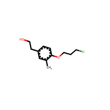 Cc1cc(CCO)ccc1OCCCCl